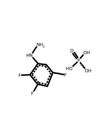 NNc1cc(F)cc(F)c1F.O=P(O)(O)O